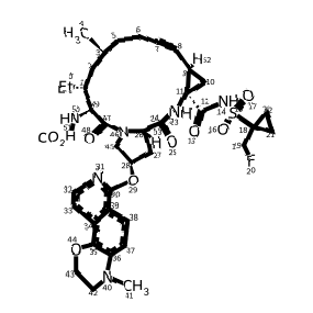 CC[C@@H]1C[C@@H](C)CC/C=C\[C@@H]2C[C@@]2(C(=O)NS(=O)(=O)C2(CF)CC2)NC(=O)[C@@H]2C[C@@H](Oc3nccc4c5c(ccc34)N(C)CCO5)CN2C(=O)[C@H]1NC(=O)O